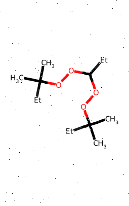 CCC(OOC(C)(C)CC)OOC(C)(C)CC